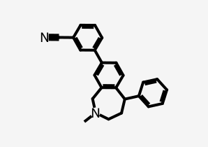 CN1CCC(c2ccccc2)c2ccc(-c3cccc(C#N)c3)cc2C1